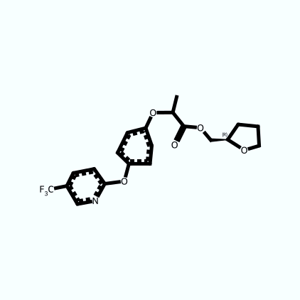 CC(Oc1ccc(Oc2ccc(C(F)(F)F)cn2)cc1)C(=O)OC[C@H]1CCCO1